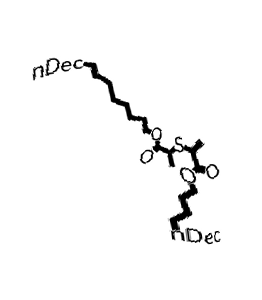 CCCCCCCCCCCCCCCCCCOC(=O)C(C)SC(C)C(=O)OCCCCCCCCCCCCCC